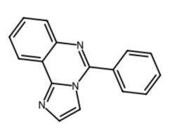 c1ccc(-c2nc3ccccc3c3nccn23)cc1